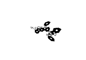 CC1(C)c2ccccc2-c2cc3c4cc(-n5c6c7ccccc7oc6n6c7ccccc7nc56)ccc4n(-c4ccccc4)c3cc21